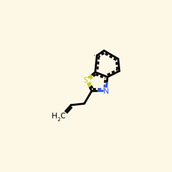 C=CCc1nc2ccc[c]c2s1